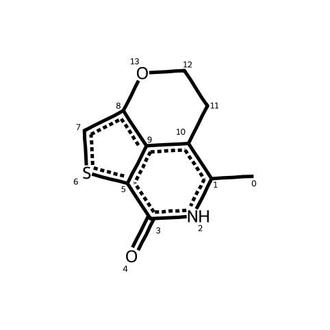 Cc1[nH]c(=O)c2scc3c2c1CCO3